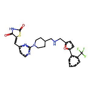 O=C1NC(=O)C(=Cc2ccnc(N3CCC(CNCc4ccc(-c5ccccc5C(F)(F)F)o4)CC3)n2)S1